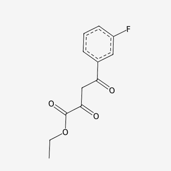 CCOC(=O)C(=O)CC(=O)c1cccc(F)c1